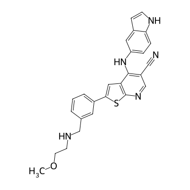 COCCNCc1cccc(-c2cc3c(Nc4ccc5[nH]ccc5c4)c(C#N)cnc3s2)c1